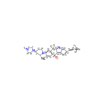 CN1CCN(C2CCN(c3cc4c(cc3C#N)C(=O)C3=C5CC=C(C#C[Si](C)(C)C)C=C5N=C3C4(C)C)CC2)CC1